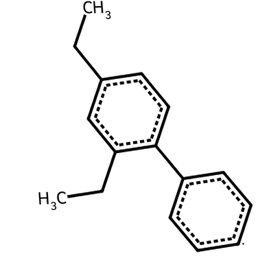 CCc1ccc(-c2cc[c]cc2)c(CC)c1